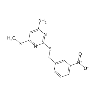 CSc1cc(N)nc(SCc2cccc([N+](=O)[O-])c2)n1